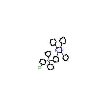 Clc1cccc([Si](c2ccccc2)(c2ccccc2)c2cccc(-c3nc(-c4ccccc4)c(-c4ccccc4)nc3-c3ccccc3)c2)c1